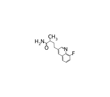 CC(CCc1cnc2c(F)cccc2c1)C(N)=O